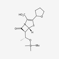 C[C@@H](O[Si](C)(C)C(C)(C)C)[C@H]1C(=O)N2C(C(=O)O)=C(C3CCCO3)S[C@H]12